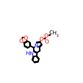 CCOC(=O)Oc1cc2n(c1)C(c1ccc3c(c1)OCO3)c1[nH]c3ccccc3c1C2